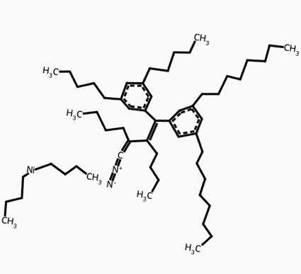 CCCCCCCCc1cc(CCCCCCCC)cc(C(=C(CCCC)C(=C=[N+]=[N-])CCCC)c2cc(CCCCC)cc(CCCCC)c2)c1.CCC[CH2][Ni][CH2]CCC